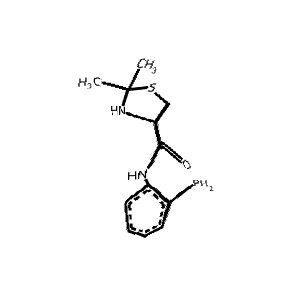 CC1(C)NC(C(=O)Nc2ccccc2P)CS1